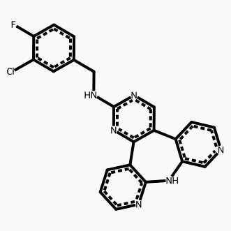 Fc1ccc(CNc2ncc3c(n2)-c2cccnc2Nc2cnccc2-3)cc1Cl